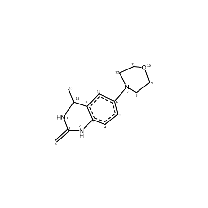 C=C1Nc2ccc(N3CCOCC3)cc2C(C)N1